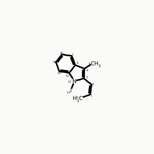 C/C=C\c1c(C)c2ccccc2n1I